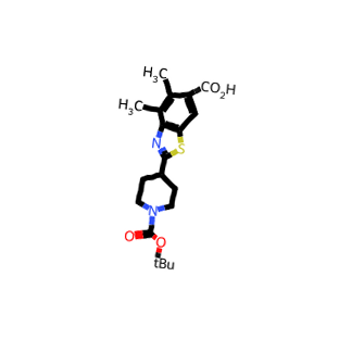 Cc1c(C(=O)O)cc2sc(C3CCN(C(=O)OC(C)(C)C)CC3)nc2c1C